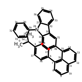 CC(C)c1ccc(-c2cccc3cccc(-c4ccc5c(c4)c4ccccc4n5-c4ccccc4)c23)cc1